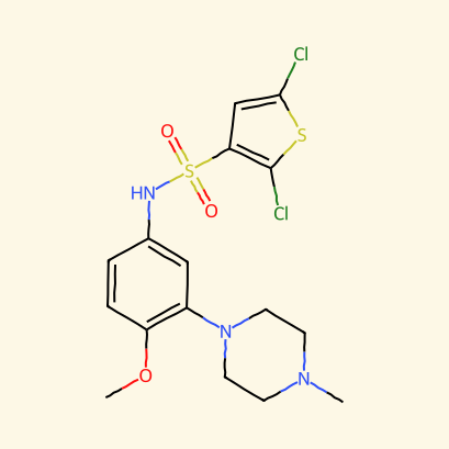 COc1ccc(NS(=O)(=O)c2cc(Cl)sc2Cl)cc1N1CCN(C)CC1